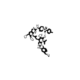 COCc1ccc(C)c(Nc2ncc3c(CC(C)n4c(=O)c(Cl)cc5cnc(NC6CCN(S(=O)(=O)c7ccc(C)cc7)CC6)nc54)c(Cl)c(=O)n(C(C)C)c3n2)c1